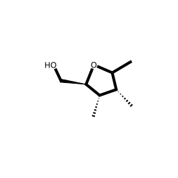 CC1O[C@H](CO)[C@@H](C)[C@H]1C